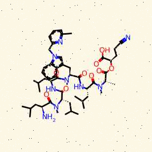 Cc1cccc(Cn2cc(C[C@@H](C(=O)N[C@@H](CC(C)C)C(=O)N(C)[C@@H](C)C(=O)O[C@H](CCC#N)C(=O)O)N(C)C(=O)[C@H](CC(C)C)NC(=O)[C@H](CC(C)C)N(C)C(=O)[C@@H](N)CC(C)C)c3ccccc32)n1